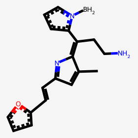 Bn1cccc1/C(CCN)=C1N=C(/C=C/c2ccco2)C=C\1C